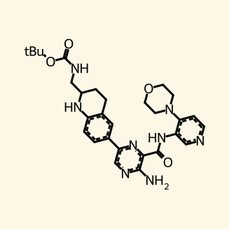 CC(C)(C)OC(=O)NCC1CCc2cc(-c3cnc(N)c(C(=O)Nc4cnccc4N4CCOCC4)n3)ccc2N1